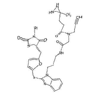 C#CCN(CC(=O)NCCCn1c(Sc2ccc(/C=C3\SC(=O)N(C(C)C)C3=O)o2)nc2ccccc21)C(=O)CCC1(C)NN1